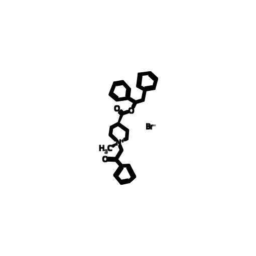 C[N@+]1(CC(=O)c2ccccc2)CC[C@H](C(=O)OC(Cc2ccccc2)c2ccccc2)CC1.[Br-]